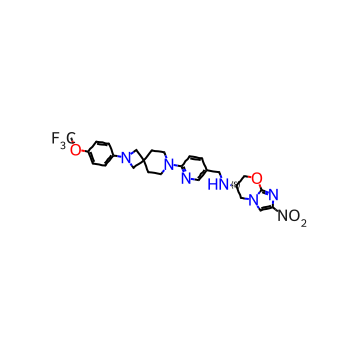 O=[N+]([O-])c1cn2c(n1)OC[C@@H](NCc1ccc(N3CCC4(CC3)CN(c3ccc(OC(F)(F)F)cc3)C4)nc1)C2